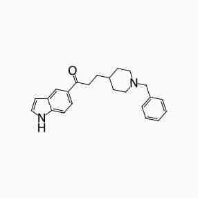 O=C(CCC1CCN(Cc2ccccc2)CC1)c1ccc2[nH]ccc2c1